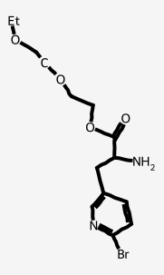 CCOCCOCCOC(=O)C(N)Cc1ccc(Br)nc1